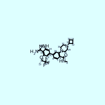 CNC(=O)c1ccc(-c2cc(O[C@@H](C)C(F)(F)F)c3c(N)n[nH]c3c2)cc1N1CCN(C2CCC2)CC1